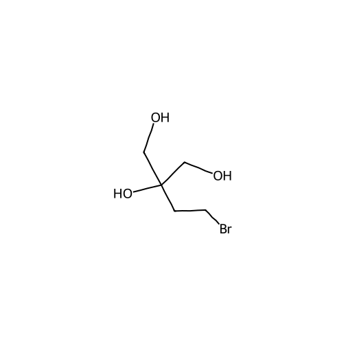 OCC(O)(CO)CCBr